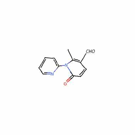 Cc1c(C=O)ccc(=O)n1-c1ccccn1